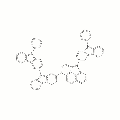 c1ccc(-n2c3ccccc3c3cc(-n4c5ccccc5c5ccc(-c6ccc7c8c6ccc6cccc(c68)n7-c6ccc7c(c6)c6ccccc6n7-c6ccccc6)cc54)ccc32)cc1